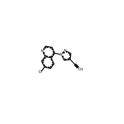 C#Cc1cnn(-c2ccnc3cc(Cl)ccc23)c1